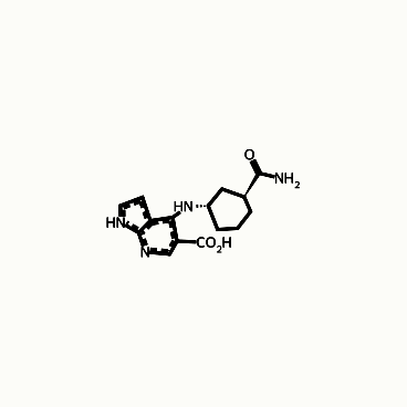 NC(=O)[C@H]1CCC[C@H](Nc2c(C(=O)O)cnc3[nH]ccc23)C1